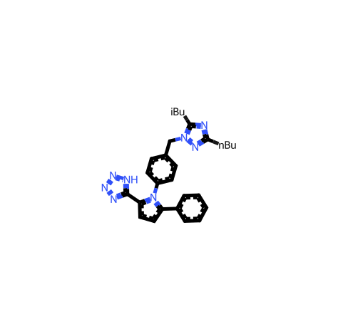 CCCCc1nc(C(C)CC)n(Cc2ccc(-n3c(-c4ccccc4)ccc3-c3nnn[nH]3)cc2)n1